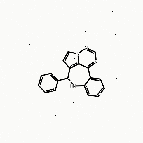 c1ccc(C2Nc3ccccc3-c3ncnn4ccc2c34)cc1